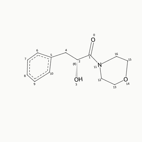 O=C([C@H](O)Cc1ccccc1)N1CCOCC1